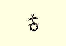 [NH]S(=O)(=O)c1ncccn1